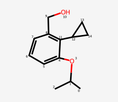 CC(C)Oc1cccc(CO)c1C1CC1